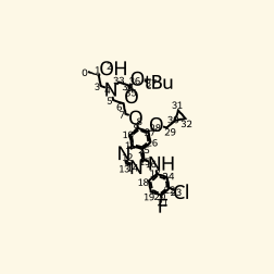 C[C@@H](O)CN(CCCOc1cc2ncnc(Nc3ccc(F)c(Cl)c3)c2cc1OCC1CC1)CC(=O)OC(C)(C)C